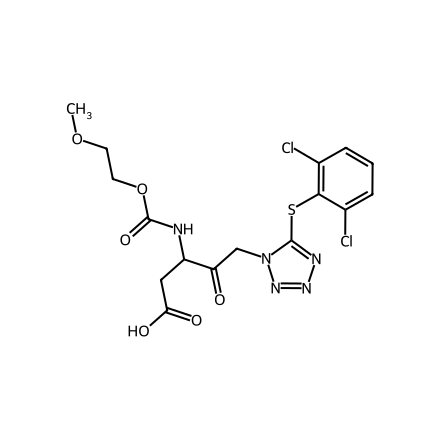 COCCOC(=O)NC(CC(=O)O)C(=O)Cn1nnnc1Sc1c(Cl)cccc1Cl